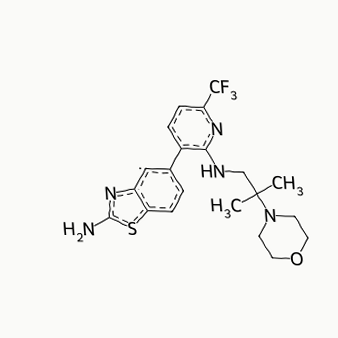 CC(C)(CNc1nc(C(F)(F)F)ccc1-c1[c]c2nc(N)sc2cc1)N1CCOCC1